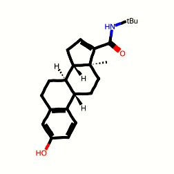 CC(C)(C)NC(=O)C1=CC[C@H]2[C@@H]3CCc4cc(O)ccc4[C@H]3CC[C@]12C